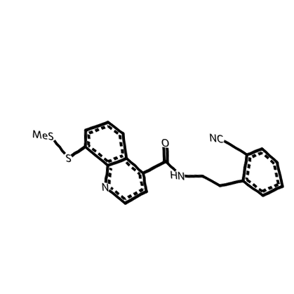 CSSc1cccc2c(C(=O)NCCc3ccccc3C#N)ccnc12